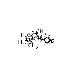 C=CC(OC)[C@@H](O)[C@H](C)/C=C(/C)COCc1ccc(Cl)cc1